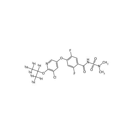 [2H]C([2H])([2H])C([2H])(Oc1ncc(Oc2cc(F)c(C(=O)NS(=O)(=O)N(C)C)cc2F)cc1Cl)C([2H])([2H])[2H]